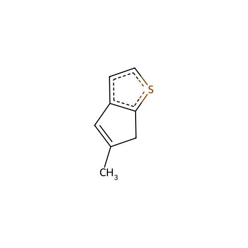 CC1=Cc2ccsc2C1